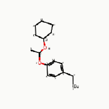 CC(Oc1ccc(CC(C)(C)C)cc1)OC1CCCCC1